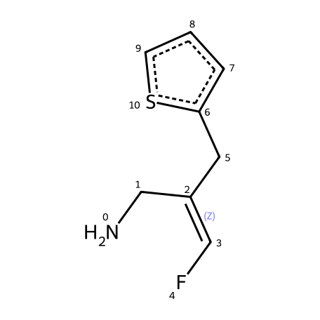 NC/C(=C\F)Cc1cccs1